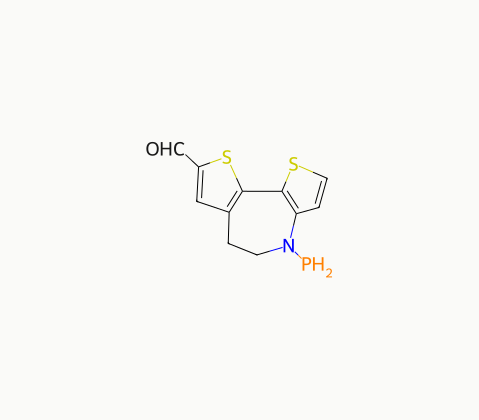 O=Cc1cc2c(s1)-c1sccc1N(P)CC2